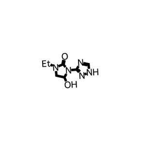 CCN1CC(O)N(c2nc[nH]n2)C1=O